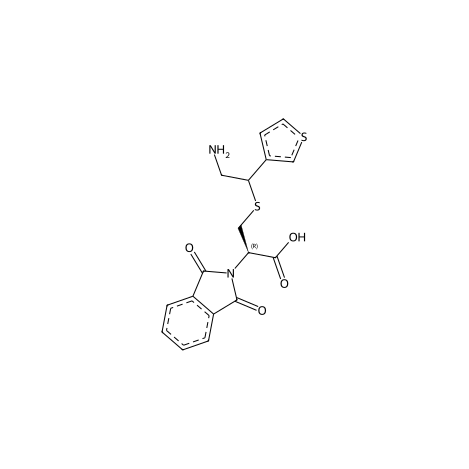 NCC(SC[C@@H](C(=O)O)N1C(=O)c2ccccc2C1=O)c1ccsc1